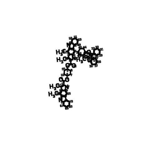 CC1=C(C(=O)O[C@H]2CC[C@@H](OC(=O)C3=C(C)c4c(C)c5c(c([C@H]6CC[C@@H](O[Si](c7ccccc7)(c7ccccc7)C(C)(C)C)CC6)c4=N3)-c3ccccc3N=5)CC2)N=c2cc3c(c(C)c21)=Nc1ccccc1-3